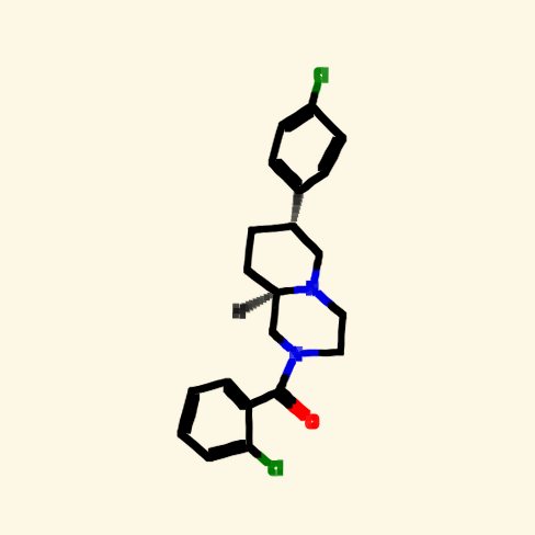 O=C(c1ccccc1Cl)N1CCN2C[C@@H](c3ccc(Cl)cc3)CC[C@@H]2C1